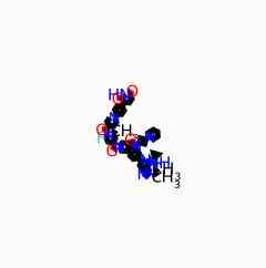 CC1CC(C(=O)N2CCC3(CC2)C(=O)N(C2CC(N4CCCCC4)C2)c2cc(-c4cc5ncn(C(C)C)c5c(NC5CC5)n4)ccc23)CC(F)N1C(=O)C1CCN(c2ccc(C3CCC(=O)NC3=O)cc2)CC1